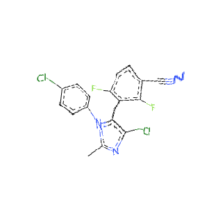 Cc1nc(Cl)c(-c2c(F)ccc(C#N)c2F)n1-c1ccc(Cl)cc1